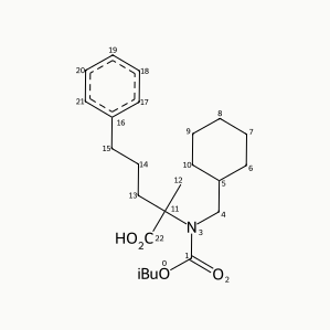 CC(C)COC(=O)N(CC1CCCCC1)C(C)(CCCc1ccccc1)C(=O)O